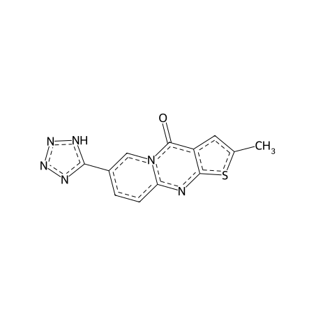 Cc1cc2c(=O)n3cc(-c4nnn[nH]4)ccc3nc2s1